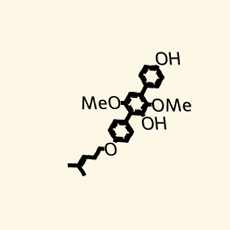 COc1cc(-c2ccc(O)cc2)c(OC)c(O)c1-c1ccc(OCCC=C(C)C)cc1